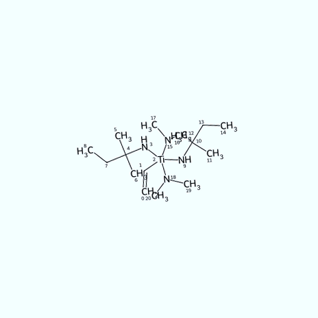 C=[CH][Ti]([NH]C(C)(C)CC)([NH]C(C)(C)CC)([N](C)C)[N](C)C